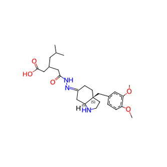 COc1ccc(C[C@@]23CCN[C@H]2CC(=NNC(=O)CC(CC(=O)O)CC(C)C)CC3)cc1OC